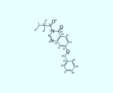 CCC(C)(C)C(=O)n1cnc2cc(OCc3ccccc3)ccc2c1=O